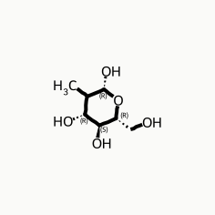 CC1[C@H](O)O[C@H](CO)[C@@H](O)[C@@H]1O